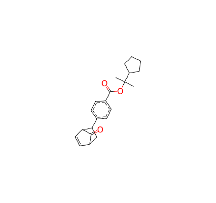 CC(C)(OC(=O)c1ccc(C2CC3C=CC2C3=O)cc1)C1CCCC1